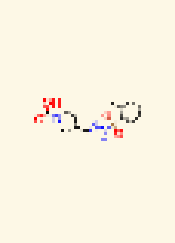 Cc1ccccc1S(=O)(=O)NN=CC1CCN(C(=O)O)CC1